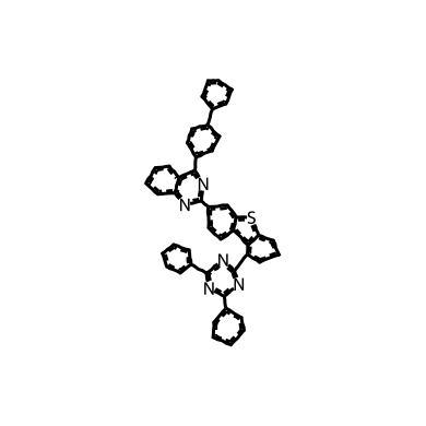 c1ccc(-c2ccc(-c3nc(-c4ccc5c(c4)sc4cccc(-c6nc(-c7ccccc7)nc(-c7ccccc7)n6)c45)nc4ccccc34)cc2)cc1